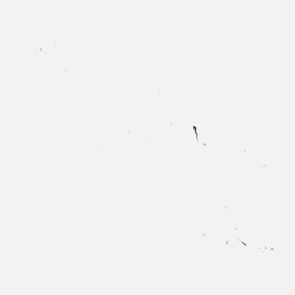 COC(=O)CC1COc2cc(O[C@@H]3CCc4c([C@@H](OC)C(F)(F)F)cccc43)ccc21